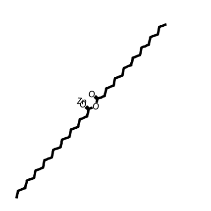 CCCCCCCCCCCCCCCCCC(=O)OC(=O)CCCCCCCCCCCCCCC.[Zn]